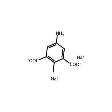 Cc1c(C(=O)[O-])cc(N)cc1C(=O)[O-].[Na+].[Na+]